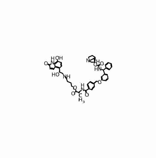 CC(NC(=O)c1ccc(COc2cccc(C(NC(=O)O[C@H]3CN4CCC3CC4)c3ccccc3)c2)cc1)C(=O)OCCCCNC[C@H](O)c1ccc(O)c2[nH]c(=O)ccc12